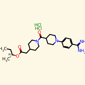 CC[C@@H](C)OC(=O)CC1CCN(C(=O)C2CCN(c3ccc(C(=N)N)cc3)CC2)CC1.Cl.Cl